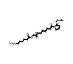 CCCCCCCCCCCCCCCC(=O)OCC(=O)NCCCCCC(=O)N1CCC[C@H]1COC